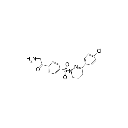 NCC(=O)c1ccc(S(=O)(=O)N2CCCC(c3ccc(Cl)cc3)=N2)cc1